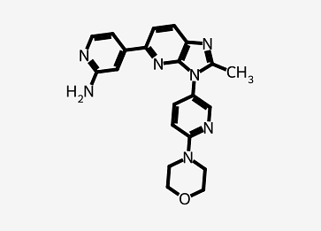 Cc1nc2ccc(-c3ccnc(N)c3)nc2n1-c1ccc(N2CCOCC2)nc1